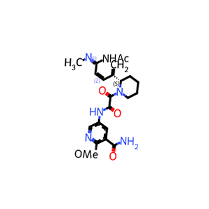 C=C(/C=C\C(=N/C)NC(C)=O)[C@@H]1CCCCN1C(=O)C(=O)Nc1cnc(OC)c(C(N)=O)c1